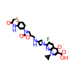 O=C1CSc2ccc(N3CC(CNC4CN(c5nc6c(cc5F)c(=O)c(C(=O)O)cn6C5CC5)C4)OC3=O)cc2N1